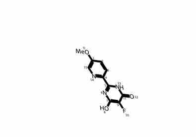 COc1ccc(-c2nc(O)c(F)c(=O)[nH]2)nc1